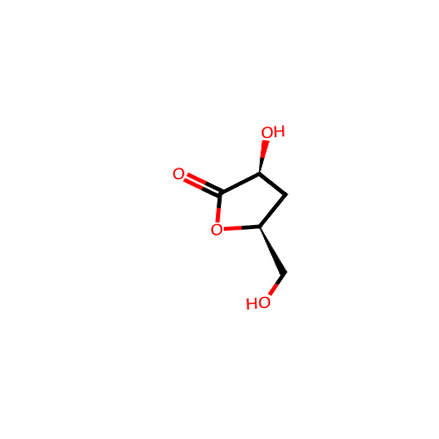 O=C1O[C@H](CO)C[C@@H]1O